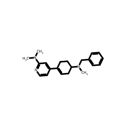 CN(C)c1cc(C2=CCC(N(C)Cc3ccccc3)CC2)ccn1